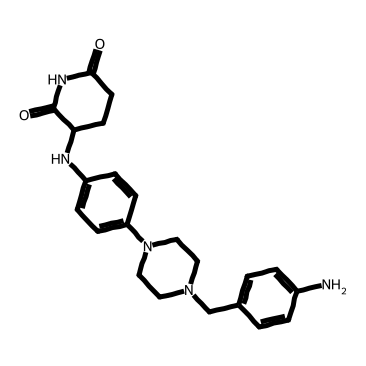 Nc1ccc(CN2CCN(c3ccc(NC4CCC(=O)NC4=O)cc3)CC2)cc1